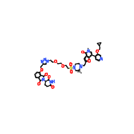 C[C@@H]1CN(S(=O)(=O)CCOCCOCCn2cc(COc3cccc4c3C(=O)N(C3CCC(=O)NC3=O)C4=O)nn2)CCN1Cc1cc2c(=O)n(C)cc(-c3ccncc3OCC3CC3)c2o1